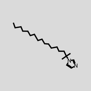 CCCCCCCCCCCCCCCC(C)(C)n1ccnc1